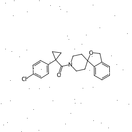 O=C(N1CCC2(CC1)OCc1ccccc12)C1(c2ccc(Cl)cc2)CC1